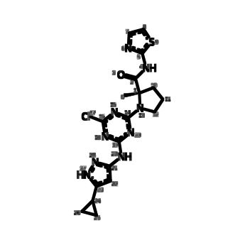 C[C@@]1(C(=O)Nc2nccs2)CCCN1c1nc(Cl)nc(Nc2cc(C3CC3)[nH]n2)n1